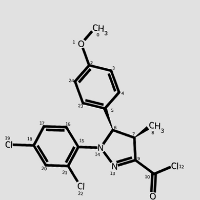 COc1ccc([C@H]2[C@@H](C)C(C(=O)Cl)=NN2c2ccc(Cl)cc2Cl)cc1